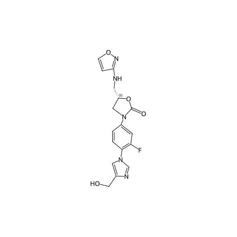 O=C1O[C@@H](CNc2ccon2)CN1c1ccc(-n2cnc(CO)c2)c(F)c1